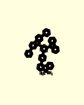 CC1(C)c2ccccc2-c2c(-c3ccc(-c4nc(-n5c6ccccc6c6ccccc65)nc(-n5c6cc(-c7ccccc7)ccc6c6ccc(-c7ccccc7)cc65)n4)cc3)cccc21